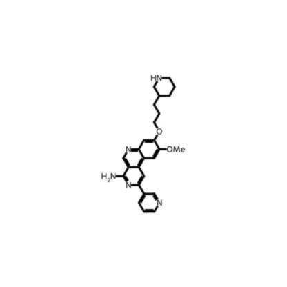 COc1cc2c(cc1OCCCC1CCCNC1)ncc1c(N)nc(-c3cccnc3)cc12